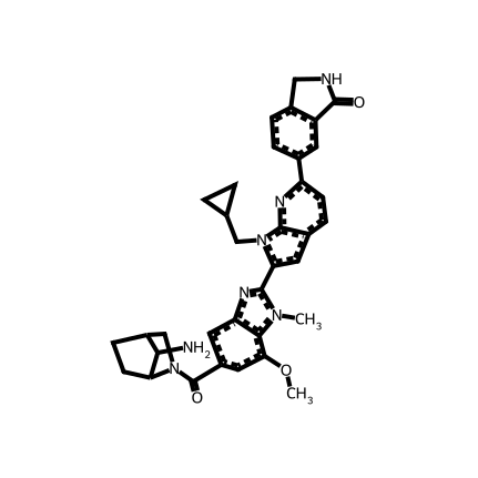 COc1cc(C(=O)N2CC3CCC2C3N)cc2nc(-c3cc4ccc(-c5ccc6c(c5)C(=O)NC6)nc4n3CC3CC3)n(C)c12